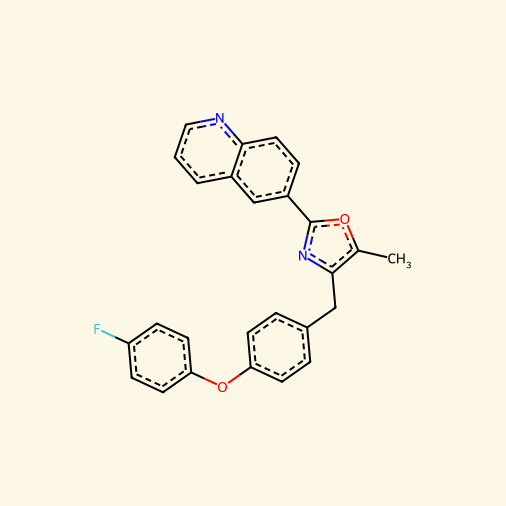 Cc1oc(-c2ccc3ncccc3c2)nc1Cc1ccc(Oc2ccc(F)cc2)cc1